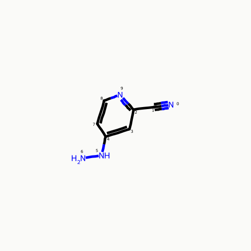 N#Cc1cc(NN)ccn1